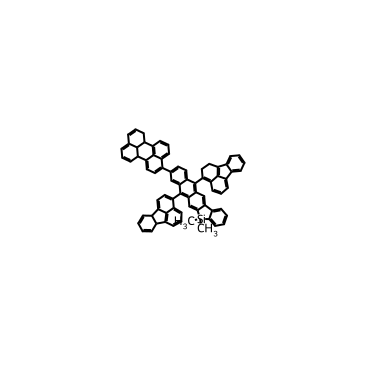 C[Si]1(C)c2ccccc2-c2cc3c(C4=c5cccc6c5=C(CC4)c4ccccc4-6)c4ccc(-c5ccc6c7c(cccc57)C5CC=CC7=CC=CC6C75)cc4c(-c4ccc5c6c(cccc46)C4C=CC=CC54)c3cc21